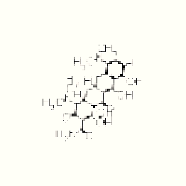 CN(C)c1cc(I)c(O)c2c1C[C@H]1C[C@H]3[C@H](N(C)C)C(=O)C(C(N)=O)=C(O)[C@@]3(O)C(=O)C1=C2O